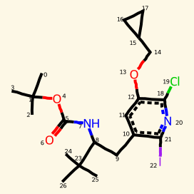 CC(C)(C)OC(=O)NC(Cc1cc(OCC2CC2)c(Cl)nc1I)C(C)(C)C